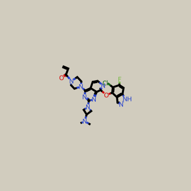 C=CC(=O)N1CCN(c2nc(N3CC(N(C)C)C3)nc3c(Oc4c(Cl)c(F)cc5[nH]ncc45)nccc23)CC1